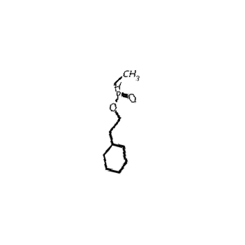 CC[PH](=O)OCCC1CCCCC1